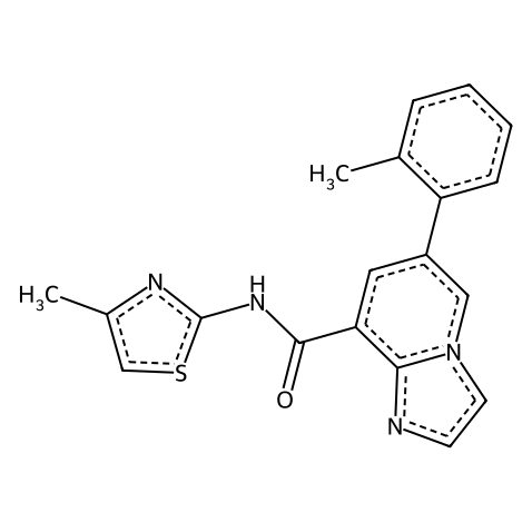 Cc1csc(NC(=O)c2cc(-c3ccccc3C)cn3ccnc23)n1